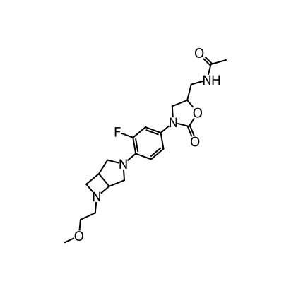 COCCN1CC2CN(c3ccc(N4CC(CNC(C)=O)OC4=O)cc3F)CC21